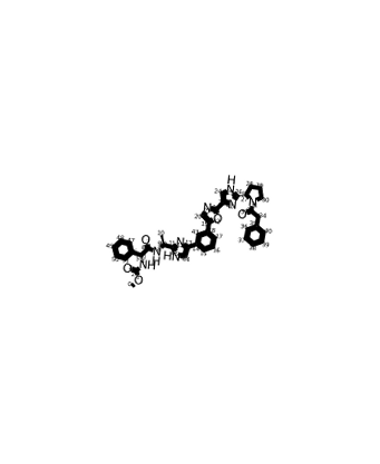 COC(=O)N[C@@H](C(=O)N[C@@H](C)c1nc(-c2cccc(-c3cnc(-c4c[nH]c([C@@H]5CCCN5C(=O)[CH]c5ccccc5)n4)o3)c2)c[nH]1)c1ccccc1